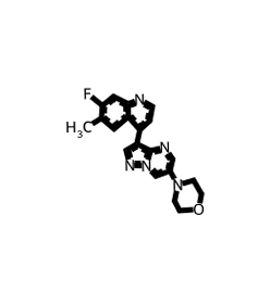 Cc1cc2c(-c3cnn4cc(N5CCOCC5)cnc34)ccnc2cc1F